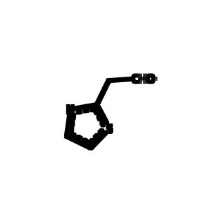 O=[C]Cc1nccs1